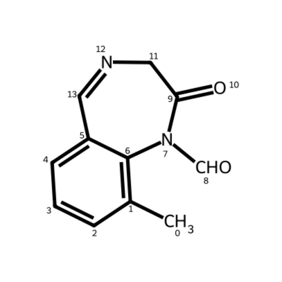 Cc1cccc2c1N(C=O)C(=O)CN=C2